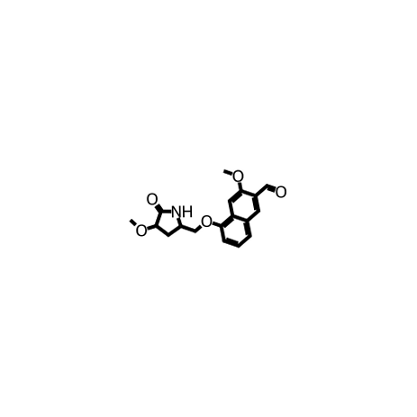 COc1cc2c(OCC3CC(OC)C(=O)N3)cccc2cc1C=O